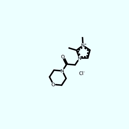 Cc1n(CC(=O)N2CCOCC2)cc[n+]1C.[Cl-]